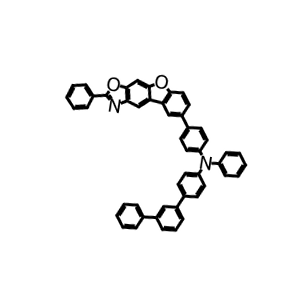 c1ccc(-c2cccc(-c3ccc(N(c4ccccc4)c4ccc(-c5ccc6oc7cc8oc(-c9ccccc9)nc8cc7c6c5)cc4)cc3)c2)cc1